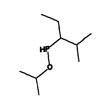 CCC(POC(C)C)C(C)C